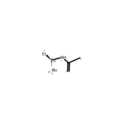 C=C(C)N[C@H](CC)[C@@H](C)CC